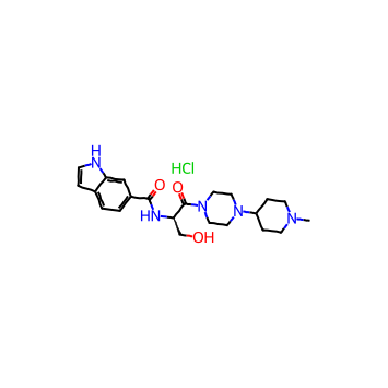 CN1CCC(N2CCN(C(=O)[C@@H](CO)NC(=O)c3ccc4cc[nH]c4c3)CC2)CC1.Cl